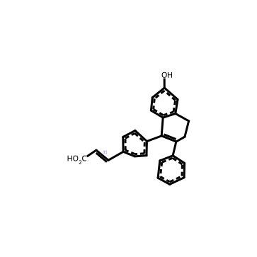 O=C(O)/C=C/c1ccc(C2=C(c3ccccc3)CCc3cc(O)ccc32)cc1